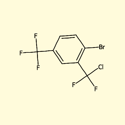 FC(F)(F)c1ccc(Br)c(C(F)(F)Cl)c1